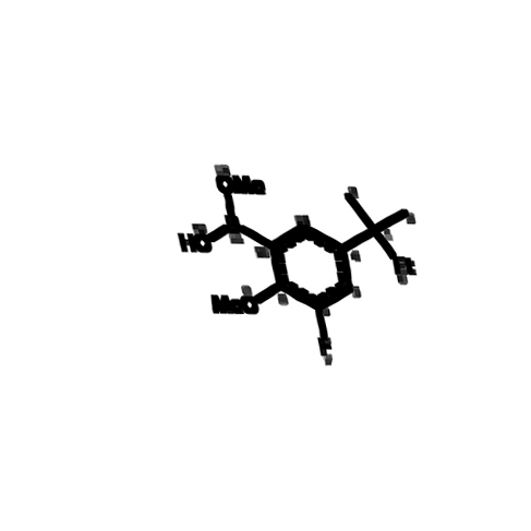 CCC(C)(C)c1cc(F)c(OC)c(B(O)OC)c1